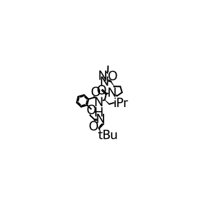 Cc1nnc([C@H]2CCCN2C(=O)[C@@H](CC(C)C)NC(=O)c2ccccc2OCc2ncc(C(C)(C)C)o2)o1